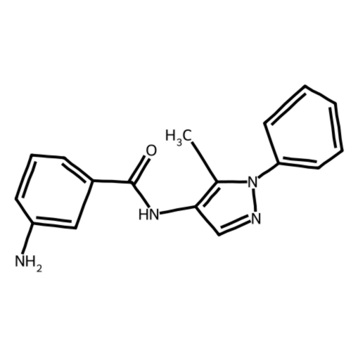 Cc1c(NC(=O)c2cccc(N)c2)cnn1-c1ccccc1